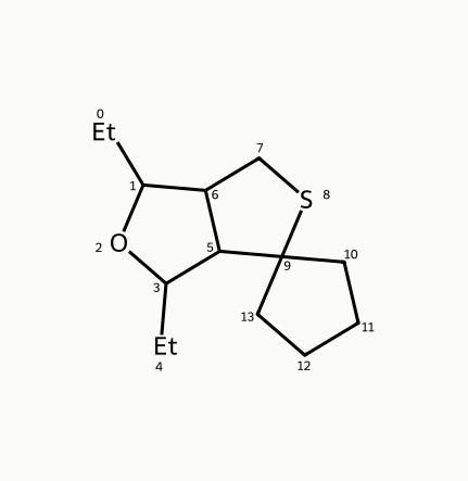 CCC1OC(CC)C2C1CSC21CCCC1